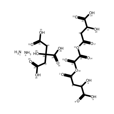 N.N.O=C(CC(O)C(=O)O)OC(=O)C(=O)OC(=O)CC(O)C(=O)O.O=C(O)CC(O)(CC(=O)O)C(=O)O